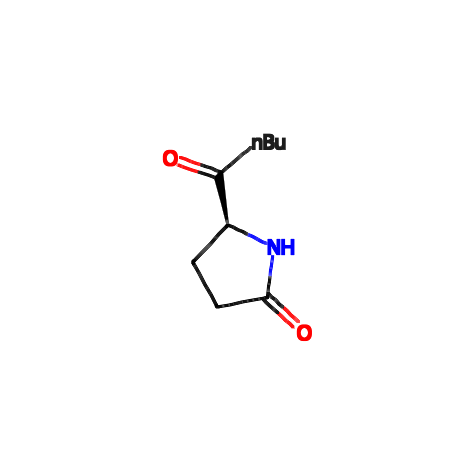 CCCCC(=O)[C@@H]1CCC(=O)N1